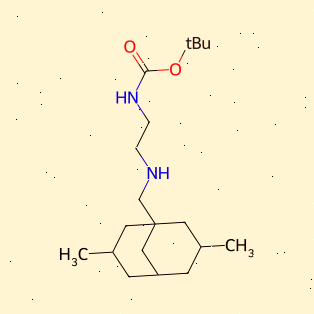 CC1CC2CC(C)CC(CNCCNC(=O)OC(C)(C)C)(C1)C2